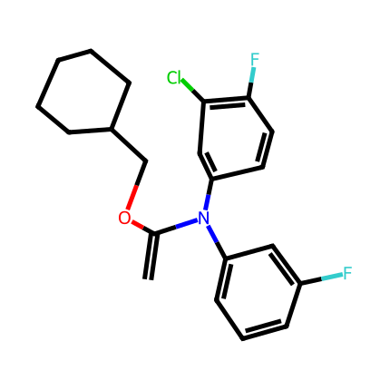 C=C(OCC1CCCCC1)N(c1cccc(F)c1)c1ccc(F)c(Cl)c1